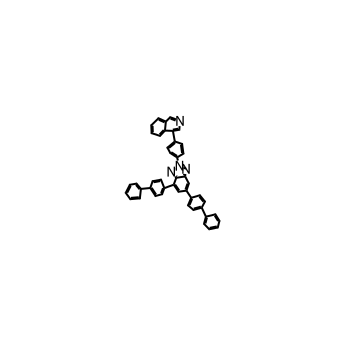 c1ccc(-c2ccc(-c3cc(-c4ccc(-c5ccccc5)cc4)c4nn(-c5ccc(-c6cncc7ccccc67)cc5)nc4c3)cc2)cc1